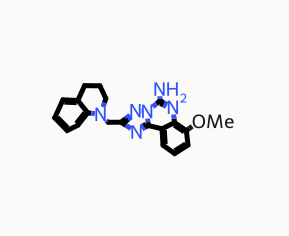 COc1cccc2c1nc(N)n1nc(CN3CCCc4ccccc43)nc21